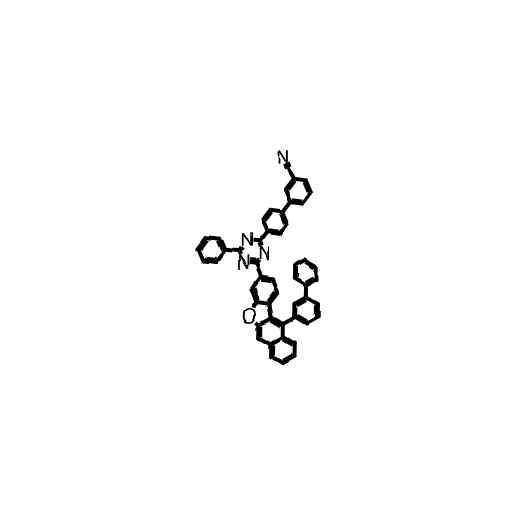 N#Cc1cccc(-c2ccc(-c3nc(-c4ccccc4)nc(-c4ccc5c(c4)oc4cc6ccccc6c(-c6cccc(-c7ccccc7)c6)c45)n3)cc2)c1